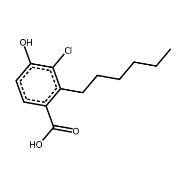 CCCCCCc1c(C(=O)O)ccc(O)c1Cl